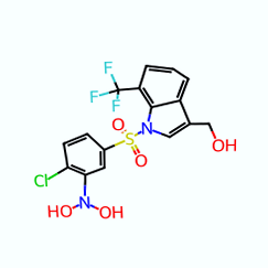 O=S(=O)(c1ccc(Cl)c(N(O)O)c1)n1cc(CO)c2cccc(C(F)(F)F)c21